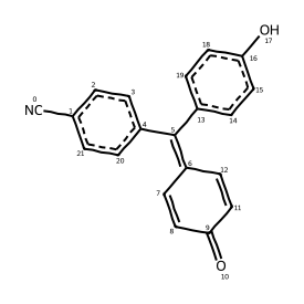 N#Cc1ccc(C(=C2C=CC(=O)C=C2)c2ccc(O)cc2)cc1